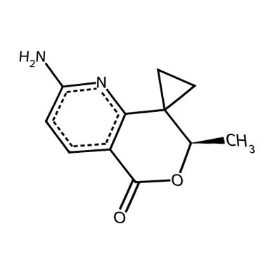 C[C@H]1OC(=O)c2ccc(N)nc2C12CC2